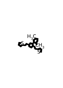 Cc1ccc(C)c(-c2cc(/C=C/c3cccs3)ccc2/C=C/c2cccs2)c1